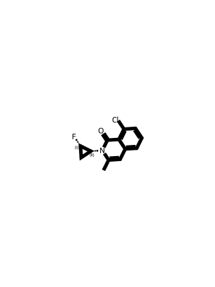 Cc1cc2cccc(Cl)c2c(=O)n1[C@@H]1C[C@@H]1F